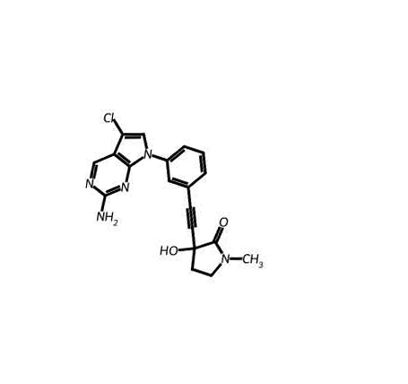 CN1CCC(O)(C#Cc2cccc(-n3cc(Cl)c4cnc(N)nc43)c2)C1=O